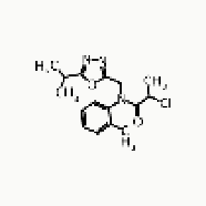 Cc1ccccc1N(Cc1nnc(C(C)C)o1)C(=O)C(C)Cl